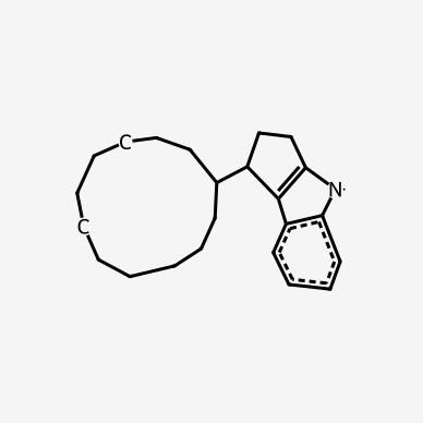 c1ccc2c(c1)[N]C1=C2C(C2CCCCCCCCCCC2)CC1